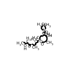 CC[C@H](O)[C@@H](C)[C@H]1O[C@@H]1C[C@H](C)/C=C/C=C(\C)[C@H]1OC(=O)C[C@H](C)CC[C@@](C)(O)[C@@H](OC(=O)N2CCC[N+](C)(C)CC2)/C=C/[C@@H]1C